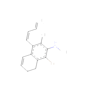 C=C/C=C\c1c(C)c(NC)c(Br)c2c1C=CCC2